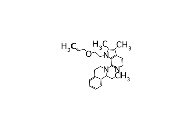 C=CCOCCn1c(C)c(C)c2ccnc(N3CCc4ccccc4C3CC)c21